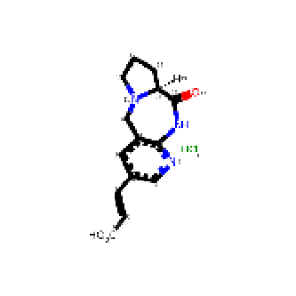 Cl.O=C(O)/C=C/c1cnc2c(c1)CN1CCC[C@H]1C(=O)N2